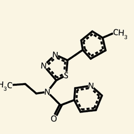 CCCN(C(=O)c1cccnc1)c1nnc(-c2ccc(C)cc2)s1